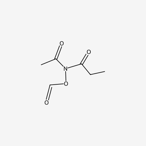 CCC(=O)N(OC=O)C(C)=O